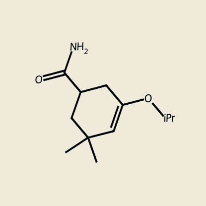 CC(C)OC1=CC(C)(C)CC(C(N)=O)C1